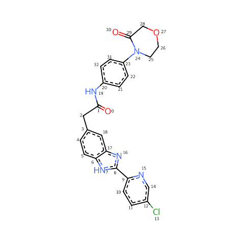 O=C(Cc1ccc2[nH]c(-c3ccc(Cl)cn3)nc2c1)Nc1ccc(N2CCOCC2=O)cc1